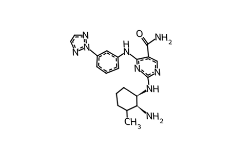 CC1CCC[C@@H](Nc2ncc(C(N)=O)c(Nc3cccc(-n4nccn4)c3)n2)[C@H]1N